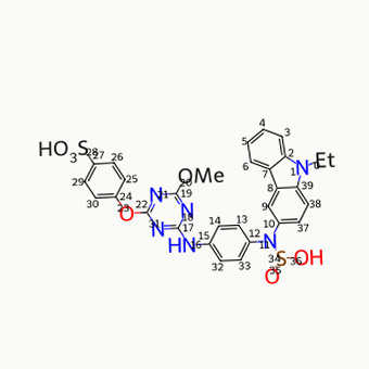 CCn1c2ccccc2c2cc(N(c3ccc(Nc4nc(OC)nc(Oc5ccc(S(=O)(=O)O)cc5)n4)cc3)S(=O)O)ccc21